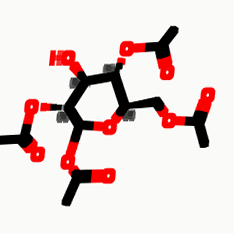 CC(=O)OC[C@H]1OC(OC(C)=O)[C@H](OC(C)=O)[C@@H](O)[C@@H]1OC(C)=O